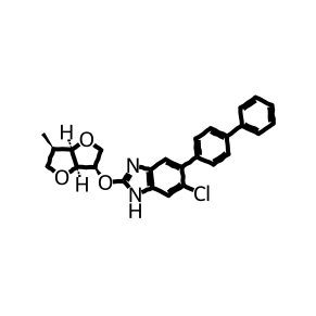 C[C@@H]1CO[C@H]2[C@@H]1OC[C@H]2Oc1nc2cc(-c3ccc(-c4ccccc4)cc3)c(Cl)cc2[nH]1